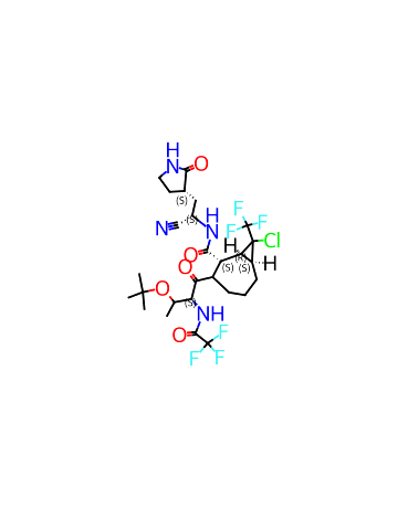 CC(OC(C)(C)C)[C@H](NC(=O)C(F)(F)F)C(=O)C1CCC[C@H]2[C@@H]([C@H]1C(=O)N[C@H](C#N)C[C@@H]1CCNC1=O)C2(Cl)C(F)(F)F